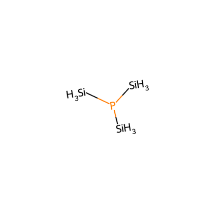 [SiH3]P([SiH3])[SiH3]